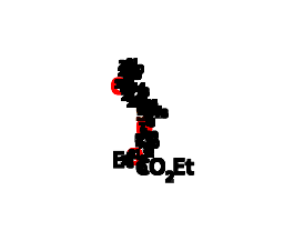 CCOC(=O)[C@H](Cc1ccc(OCc2sc(-c3ccc(C(=O)c4ccccc4)cc3)cc2C)cc1)OCC